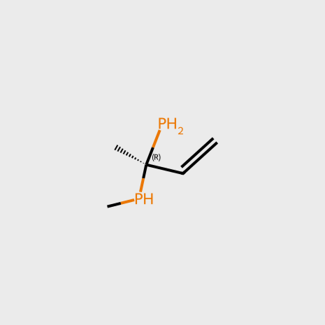 C=C[C@](C)(P)PC